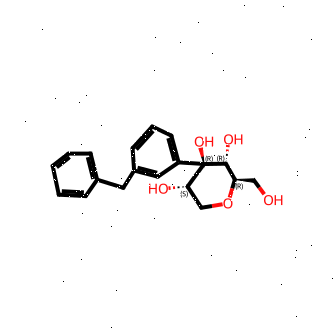 OC[C@H]1OC[C@H](O)[C@](O)(c2cccc(Cc3ccccc3)c2)[C@@H]1O